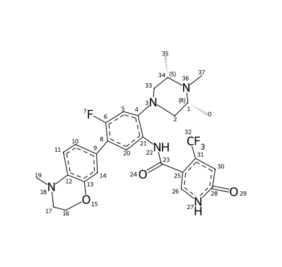 C[C@@H]1CN(c2cc(F)c(-c3ccc4c(c3)OCCN4C)cc2NC(=O)c2c[nH]c(=O)cc2C(F)(F)F)C[C@H](C)N1C